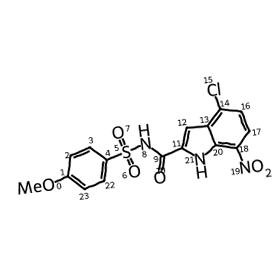 COc1ccc(S(=O)(=O)NC(=O)c2cc3c(Cl)ccc([N+](=O)[O-])c3[nH]2)cc1